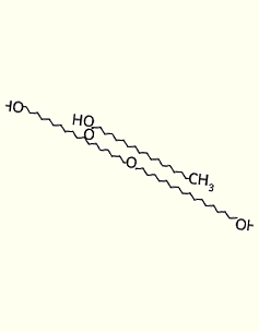 CCCCCCCCCCCCCCCCCC(=O)O.OCCCCCCCCCCCCCCCCCCOCCCCCCCCCCCCCCCCCCO